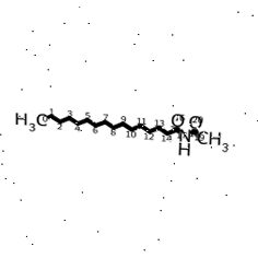 CCCCCCCCCCCCCCCC(=O)NC(C)=O